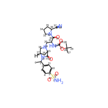 CC(c1ccc(S(N)(=O)=O)cc1)N1C(=O)C2C[C@H]1CN2CC(NC(=O)OC(C)(C)C)C(=O)N1CCCC1C#N